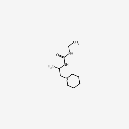 CCNC(=O)NC(C)CN1CC[CH]CC1